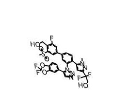 Cn1nc(C(F)(F)CO)cc1-c1ccc(-c2cc(F)c(CO)c(S(C)(=O)=O)c2)cc1-n1nncc1-c1ccc2c(c1)OC(F)(F)O2